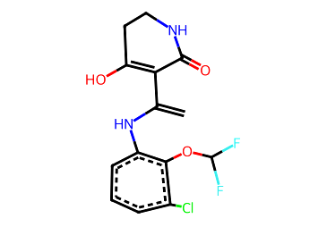 C=C(Nc1cccc(Cl)c1OC(F)F)C1=C(O)CCNC1=O